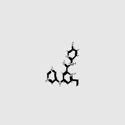 CCc1cc(Oc2cncnc2)cc(C(=O)Nc2ccc(F)cn2)n1